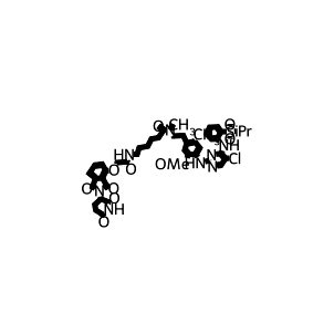 COc1cc(CCN(C)C(=O)CCCCCNC(=O)COc2cccc3c2C(=O)N(C2CCC(=O)NC2=O)C3=O)c(C)cc1Nc1ncc(Cl)c(Nc2ccccc2S(=O)(=O)C(C)C)n1